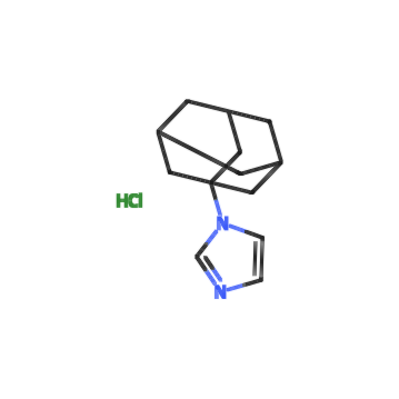 Cl.c1cn(C23CC4CC(CC(C4)C2)C3)cn1